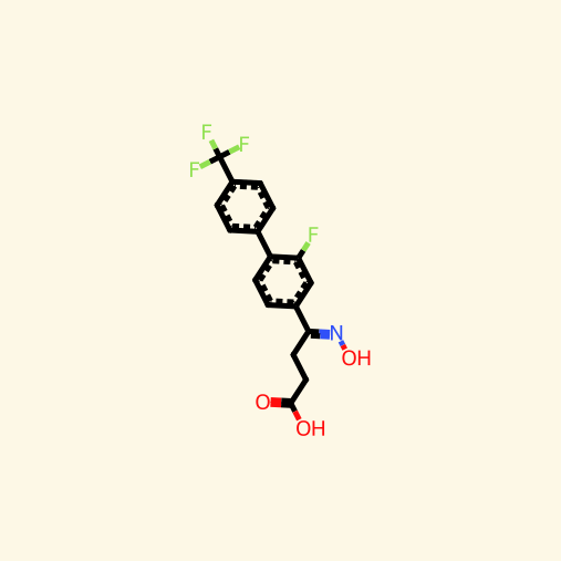 O=C(O)CCC(=NO)c1ccc(-c2ccc(C(F)(F)F)cc2)c(F)c1